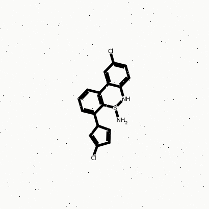 NB1Nc2ccc(Cl)cc2-c2cccc(C3C=CC(Cl)=C3)c21